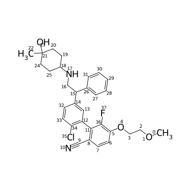 COCCOc1ccc(C#N)c(-c2cc(C(CNC3CCC(C)(O)CC3)c3ccccc3)ccc2Cl)c1F